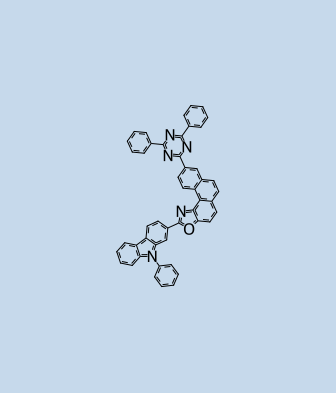 c1ccc(-c2nc(-c3ccccc3)nc(-c3ccc4c(ccc5ccc6oc(-c7ccc8c9ccccc9n(-c9ccccc9)c8c7)nc6c54)c3)n2)cc1